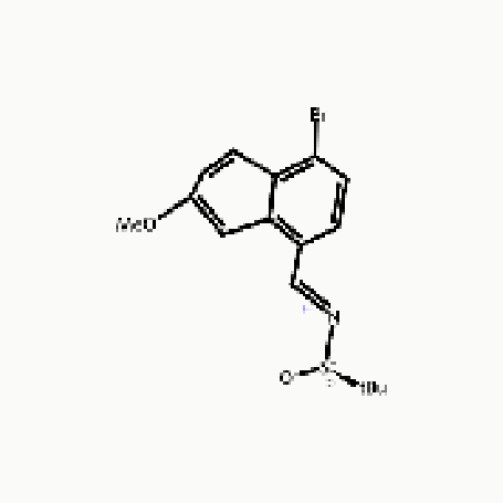 COc1ccc2c(Br)ccc(/C=N/[S@+]([O-])C(C)(C)C)c2c1